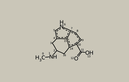 CNC1Cc2c[nH]c3ccc(C(=O)O)c(c23)C1